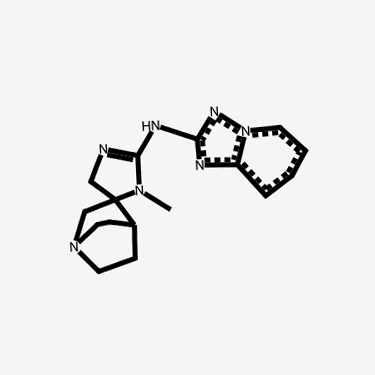 CN1C(Nc2nc3ccccn3n2)=NCC12CN1CCC2CC1